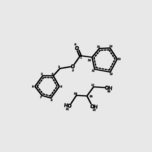 O=C(OCc1ccccc1)c1ccccc1.OCC(O)CO